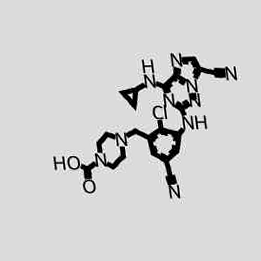 N#Cc1cc(CN2CCN(C(=O)O)CC2)c(Cl)c(Nc2nc(NC3CC3)c3ncc(C#N)n3n2)c1